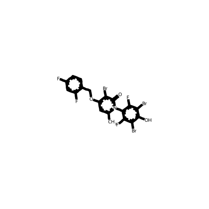 Cc1cc(OCc2ccc(F)cc2F)c(Br)c(=O)n1-c1c(F)c(Br)c(O)c(Br)c1F